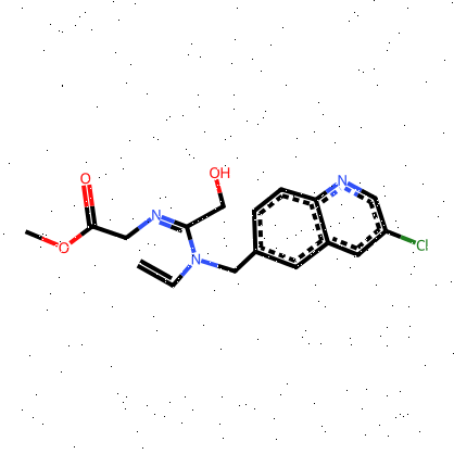 C=CN(Cc1ccc2ncc(Cl)cc2c1)/C(CO)=N\CC(=O)OC